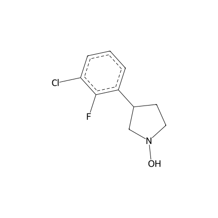 ON1CCC(c2cccc(Cl)c2F)C1